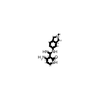 CN1Cc2ccc(NC(=N)c3c(N)cc[nH]c3=O)cc2C1